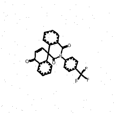 O=C1C=CC2(C(=O)N(c3ccc(C(F)(F)F)cc3)C(=O)c3ccccc32)c2ccccc21